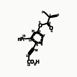 C=C(C)C(=O)Oc1ccc(C#CC(=O)O)c(CCC)c1